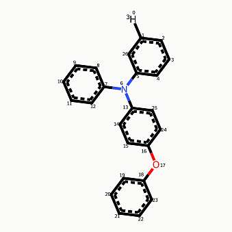 [3H]c1cccc(N(c2ccccc2)c2ccc(Oc3ccccc3)cc2)c1